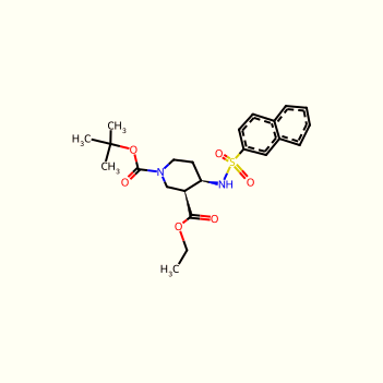 CCOC(=O)[C@H]1CN(C(=O)OC(C)(C)C)CC[C@H]1NS(=O)(=O)c1ccc2ccccc2c1